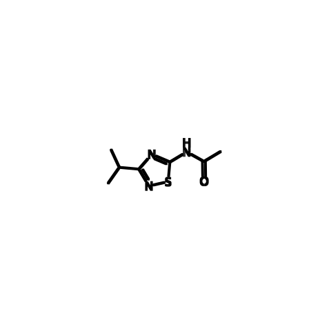 CC(=O)Nc1nc(C(C)C)ns1